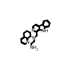 NCCN(Cc1nccc2c1[nH]c1ccccc12)[C@H]1CCCc2cccnc21